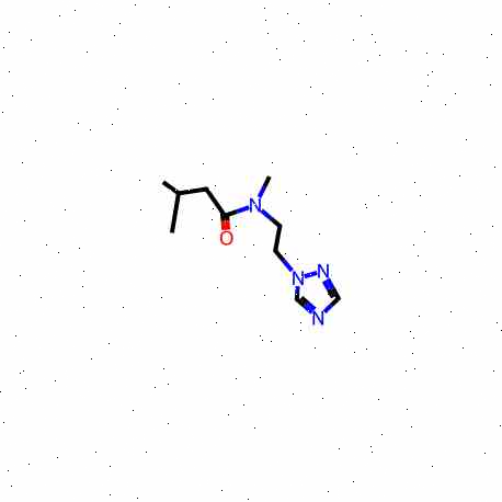 CC(C)CC(=O)N(C)CCn1cncn1